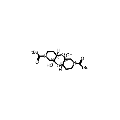 CC(C)(C)C(=O)N1CC[C@@H]2O[C@@]3(O)CN(C(=O)C(C)(C)C)CC[C@@H]3O[C@@]2(O)C1